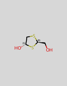 OC[C@@H]1SC[C@@H](O)S1